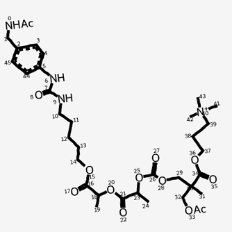 CC(=O)NCc1ccc(NC(=O)NCCCCCOC(=O)C(C)OC(=O)C(C)OC(=O)OCC(C)(COC(C)=O)C(=O)OCCC[N+](C)(C)C)cc1